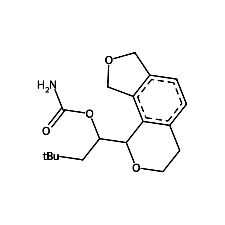 CC(C)(C)CC(OC(N)=O)C1OCCc2ccc3c(c21)COC3